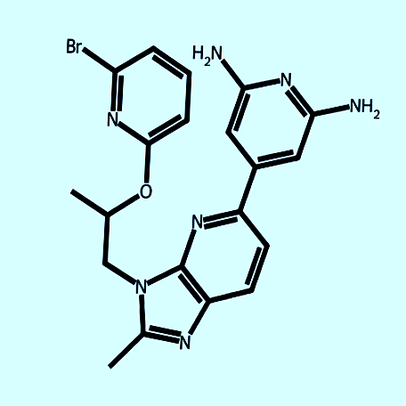 Cc1nc2ccc(-c3cc(N)nc(N)c3)nc2n1CC(C)Oc1cccc(Br)n1